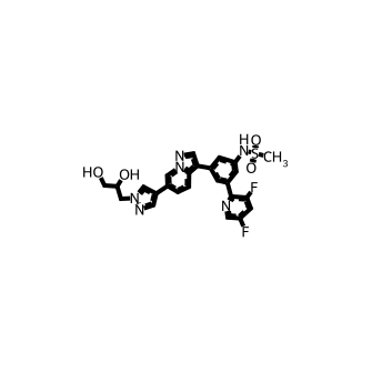 CS(=O)(=O)Nc1cc(-c2ncc(F)cc2F)cc(-c2cnn3cc(-c4cnn(CC(O)CO)c4)ccc23)c1